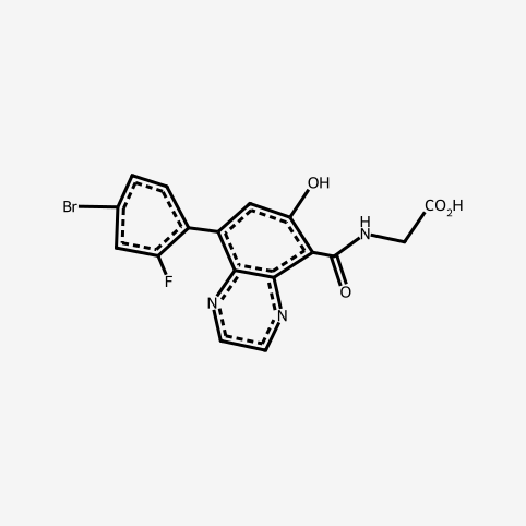 O=C(O)CNC(=O)c1c(O)cc(-c2ccc(Br)cc2F)c2nccnc12